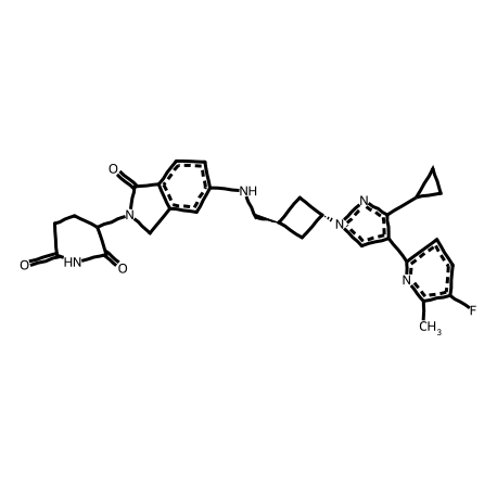 Cc1nc(-c2cn([C@H]3C[C@H](CNc4ccc5c(c4)CN(C4CCC(=O)NC4=O)C5=O)C3)nc2C2CC2)ccc1F